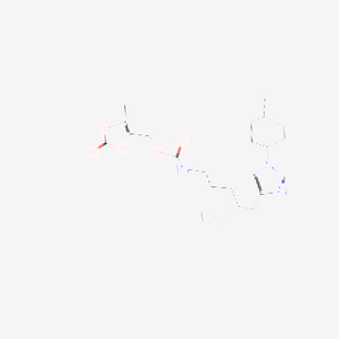 Cc1oc(=O)oc1COC(=O)NCCC[C@@H](Cc1cn(C2CCC(C)CC2)cn1)C(=O)O